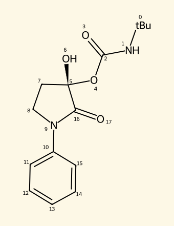 CC(C)(C)NC(=O)O[C@@]1(O)CCN(c2ccccc2)C1=O